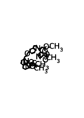 CCOC(=O)C=C(c1cncc(S(C)(=O)=O)c1)n1ccc2cc(OCCc3ccc4c(n3)N(C(=O)OC(C)(C)C)CCC4)ccc21